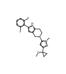 COC1(c2cc(N3CCc4[nH]c(-c5c(F)cccc5F)cc4C3)n(C)n2)CC1